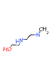 C=NCCNCCO